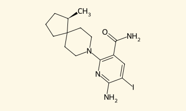 C[C@@H]1CCCC12CCN(c1nc(N)c(I)cc1C(N)=O)CC2